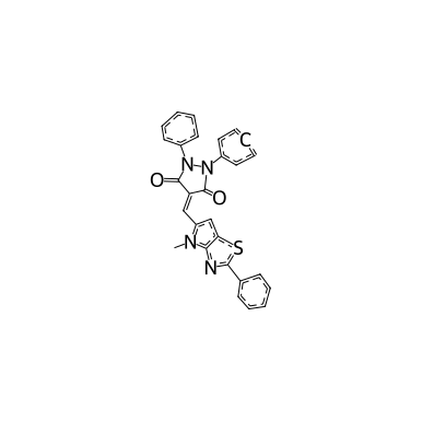 Cn1c(C=C2C(=O)N(c3ccccc3)N(c3ccccc3)C2=O)cc2sc(-c3ccccc3)nc21